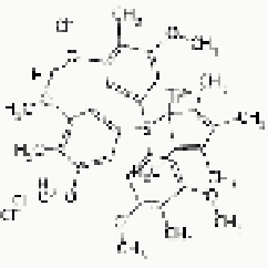 COc1cc([Si](c2cc(OC)c(C)c(OC)c2)(c2cc(OC)c(C)c(OC)c2)[C]2([Ti+3])C(C)=C(C)C(C)=C2C)cc(OC)c1C.[Cl-].[Cl-].[Cl-]